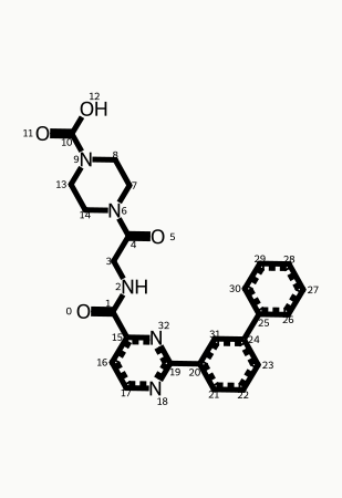 O=C(NCC(=O)N1CCN(C(=O)O)CC1)c1ccnc(-c2cccc(-c3ccccc3)c2)n1